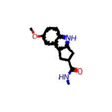 CNC(=O)C1Cc2[nH]c3ccc(OC)cc3c2C1